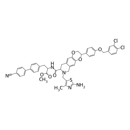 COC(=O)C(Cc1ccc(-c2ccc(C#N)cc2)cc1)NC(=O)C1Cc2cc3c(cc2CN1Cc1sc(N)nc1C)OC(c1ccc(OCc2ccc(Cl)c(Cl)c2)cc1)CO3